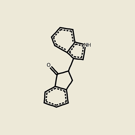 O=C1c2ccccc2CC1c1c[nH]c2ccccc12